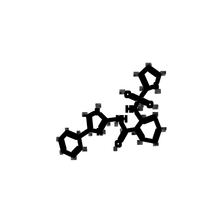 O=C(Nc1nc(-c2ccccc2)cs1)c1ccccc1NS(=O)(=O)c1cccs1